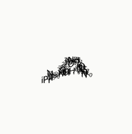 Cc1csc([C@H]2CCCN2C(=O)c2cccc(C(=O)N[C@@H](C)CCc3ccc(NCCc4cncc(C(C)C)c4)c(O)c3)c2)n1